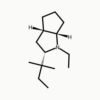 CCN1[C@H](C(C)(C)CC)C[C@@H]2CCC[C@@H]21